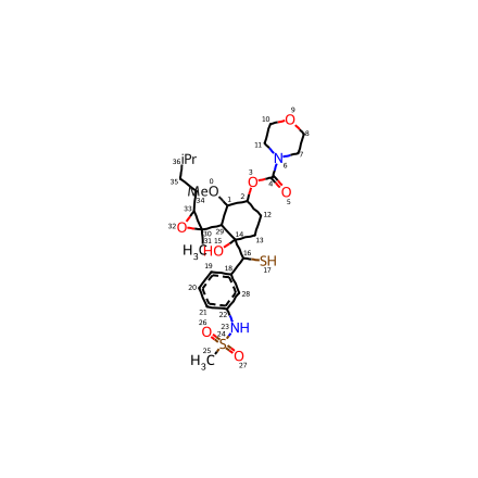 COC1C(OC(=O)N2CCOCC2)CCC(O)(C(S)c2cccc(NS(C)(=O)=O)c2)C1C1(C)OC1CCC(C)C